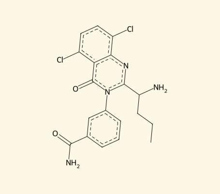 CCCC(N)c1nc2c(Cl)ccc(Cl)c2c(=O)n1-c1cccc(C(N)=O)c1